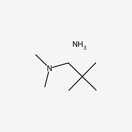 CN(C)CC(C)(C)C.N